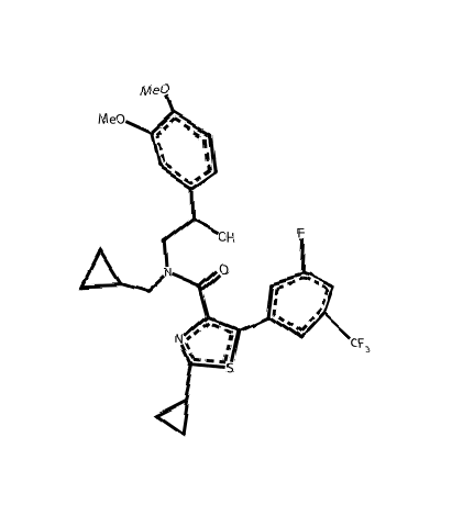 COc1ccc(C(O)CN(CC2CC2)C(=O)c2nc(C3CC3)sc2-c2cc(F)cc(C(F)(F)F)c2)cc1OC